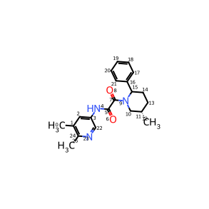 Cc1cc(NC(=O)C(=O)N2C[C@@H](C)CCC2c2ccccc2)cnc1C